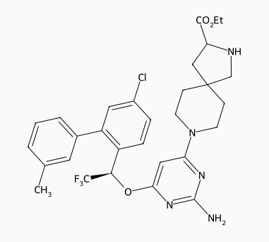 CCOC(=O)C1CC2(CCN(c3cc(O[C@H](c4ccc(Cl)cc4-c4cccc(C)c4)C(F)(F)F)nc(N)n3)CC2)CN1